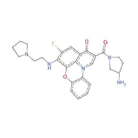 NC1CCN(C(=O)c2cn3c4c(c(NCCN5CCCC5)c(F)cc4c2=O)Oc2ccccc2-3)C1